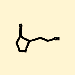 O=C1CCCC1CCO